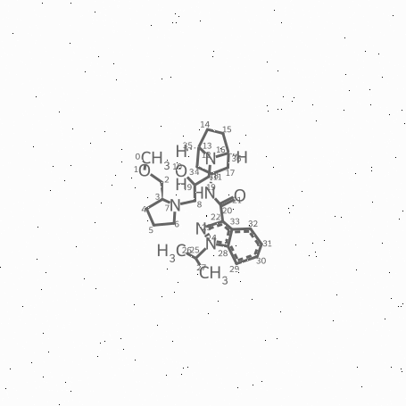 COC[C@@H]1CCCN1CC(O)CN1[C@@H]2CC[C@H]1C[C@H](NC(=O)c1nn(C(C)C)c3ccccc13)C2